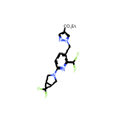 CCOC(=O)c1cnn(Cc2ccc(N3CC4C(C3)C4(F)F)nc2C(F)F)c1